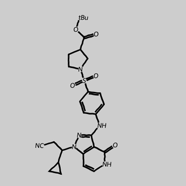 CC(C)(C)OC(=O)C1CCN(S(=O)(=O)c2ccc(Nc3nn(C(CC#N)C4CC4)c4cc[nH]c(=O)c34)cc2)C1